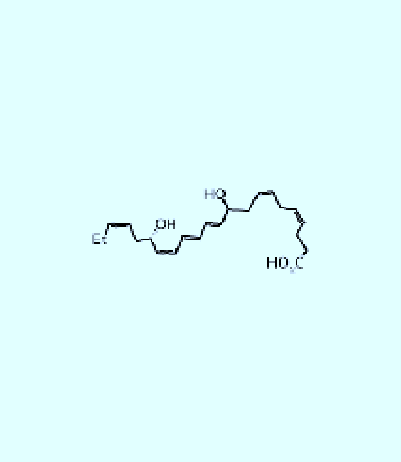 CC/C=C\C[C@H](O)\C=C/C=C/C=C/C(O)C/C=C\C/C=C\CCC(=O)O